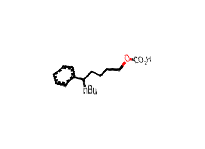 CCCCC(CCCCOC(=O)O)c1ccccc1